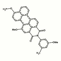 COc1cc(C)cc(N2C(=O)c3ccc4c5cccc6c(OP)ccc(c7c(OC)cc(c3c47)C2=O)c65)c1